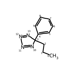 CCCC1(c2ccccc2)N=NN=N1